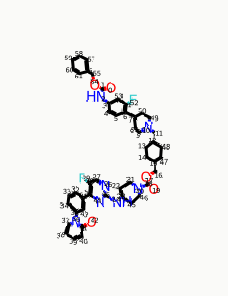 O=C(Nc1ccc(C2CCN(C[C@H]3CC[C@H](COC(=O)N4CCC(Nc5ncc(F)c(-c6cccc(-n7ccccc7=O)c6)n5)CC4)CC3)CC2)c(F)c1)OCc1ccccc1